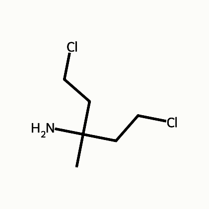 CC(N)(CCCl)CCCl